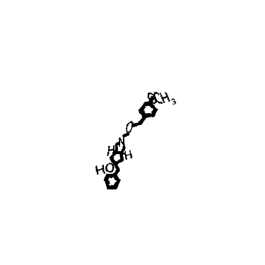 COc1ccc(COCCN2C[C@@H]3C[C@@](O)(Cc4ccccc4)C[C@@H]3C2)cc1